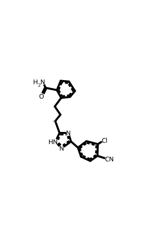 N#Cc1ccc(-c2n[nH]c([CH]CCc3ccccc3C(N)=O)n2)cc1Cl